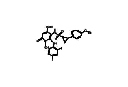 CCOc1ccc(C2CC2S(=O)(=O)Nc2c(OC)cc(=O)n(C)c2Nc2ccc(I)cc2F)cc1